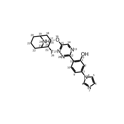 Oc1cc(-n2ccnc2)ccc1-c1ncc(O[C@H]2CC3CCCC(N3)[C@@H]2F)nn1